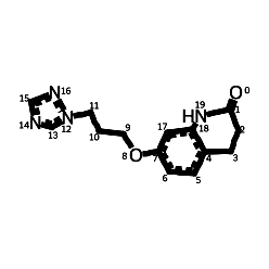 O=C1CCc2ccc(OCCCn3cncn3)cc2N1